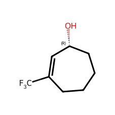 O[C@H]1C=C(C(F)(F)F)CCCC1